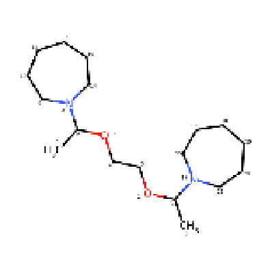 CC(OCCOC(C)N1CCCCCC1)N1CCCCCC1